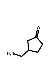 NCC1CCC(=O)C1